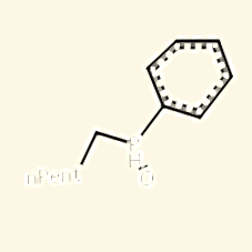 CCCCCC[PH](=O)c1ccccc1